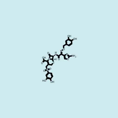 Nc1nc(C(=NOCc2ccc(O)c(O)c2)C(=O)N[C@@H]2C(=O)N3C(C(=O)O)=C(CS(=O)(=O)c4ccc(O)c(O)c4)CS[C@H]23)cs1